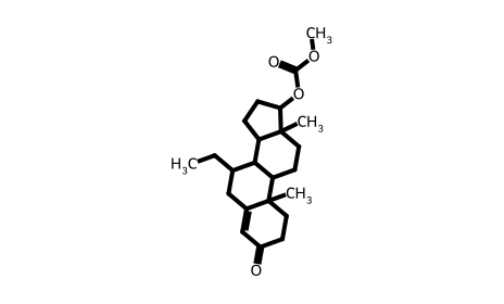 CCC1CC2=CC(=O)CCC2(C)C2CCC3(C)C(OC(=O)OC)CCC3C12